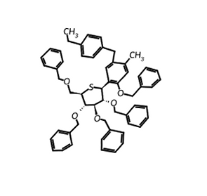 CCc1ccc(Cc2cc([C@@H]3S[C@H](COCc4ccccc4)[C@@H](OCc4ccccc4)[C@H](OCc4ccccc4)[C@H]3OCc3ccccc3)c(OCc3ccccc3)cc2C)cc1